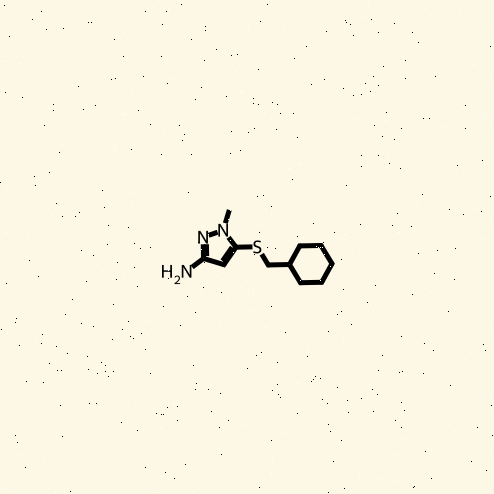 Cn1nc(N)cc1SCC1CCCCC1